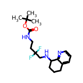 CC(C)(C)OC(=O)NCCC(F)(F)CNC1CCCc2cccnc21